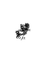 CCOC(=O)COP(=O)(COCCOc1ccc(C[C@H](NC(=O)O[C@H]2CO[C@H]3OCC[C@H]32)[C@H](O)CN(CC(C)C)S(=O)(=O)c2ccc(OC)cc2)cc1)Oc1ccccc1